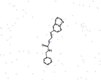 O=C(/C=C/C=C/c1ccc2ncccc2c1)NCc1ccccc1